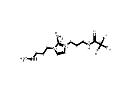 CNCCCn1cc[n+](CCCNC(=O)C(F)(F)F)c1N